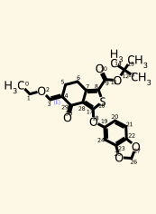 CCO/C=C1\CCc2c(C(=O)OC(C)(C)C)sc(Oc3ccc4c(c3)OCO4)c2C1=O